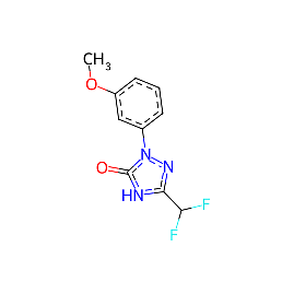 COc1cccc(-n2nc(C(F)F)[nH]c2=O)c1